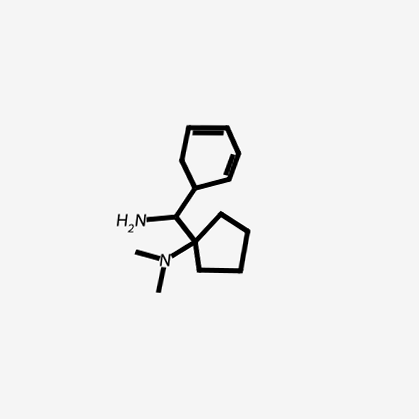 CN(C)C1(C(N)C2C=CC=CC2)CCCC1